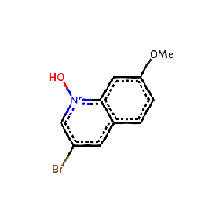 COc1ccc2cc(Br)c[n+](O)c2c1